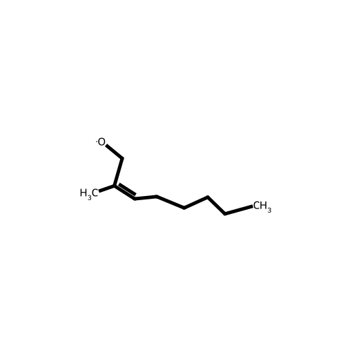 CCCCCC=C(C)C[O]